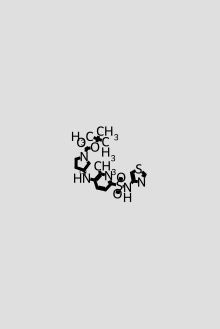 Cc1nc(S(=O)(=O)Nc2cscn2)ccc1N[C@H]1CCN(C(=O)OC(C)(C)C)C1